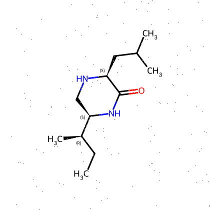 CC[C@@H](C)[C@H]1CN[C@@H](CC(C)C)C(=O)N1